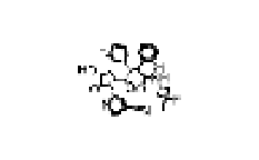 N#Cc1ccnc(N2C(=O)[C@H](O)C[C@H]2C(=O)N(c2cccc(F)c2)C(C(=O)NC2CC(F)(F)C2)c2ccccc2Cl)c1